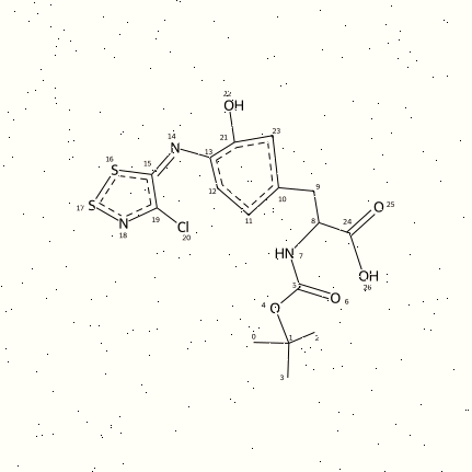 CC(C)(C)OC(=O)NC(Cc1ccc(N=c2ssnc2Cl)c(O)c1)C(=O)O